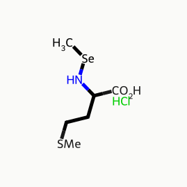 CSCCC(N[Se]C)C(=O)O.Cl